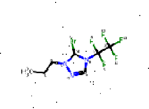 CCCN1N=CN(C(F)(F)C(F)(F)F)C1Br